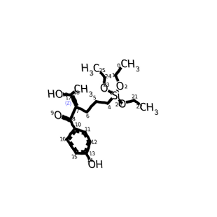 CCO[Si](CCC/C(C(=O)c1ccc(O)cc1)=C(\C)O)(OCC)OCC